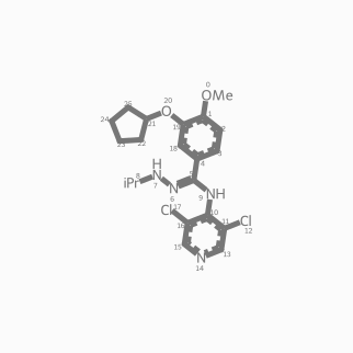 COc1ccc(C(=NNC(C)C)Nc2c(Cl)cncc2Cl)cc1OC1CCCC1